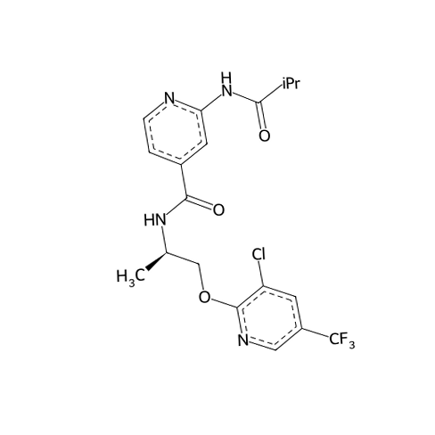 CC(C)C(=O)Nc1cc(C(=O)N[C@H](C)COc2ncc(C(F)(F)F)cc2Cl)ccn1